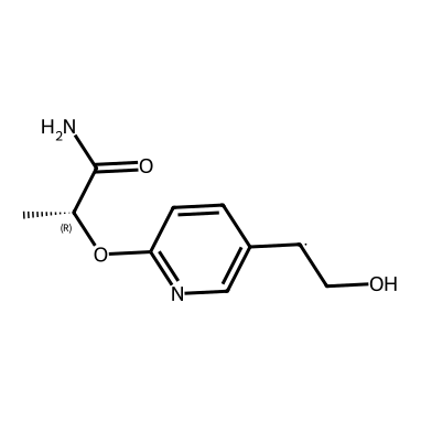 C[C@@H](Oc1ccc([CH]CO)cn1)C(N)=O